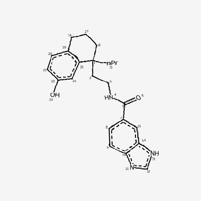 CCCC1(CCNC(=O)c2ccc3nc[nH]c3c2)CCCc2ccc(O)cc21